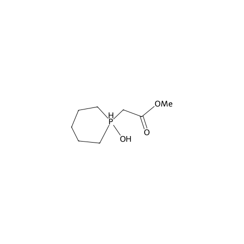 COC(=O)C[PH]1(O)CCCCC1